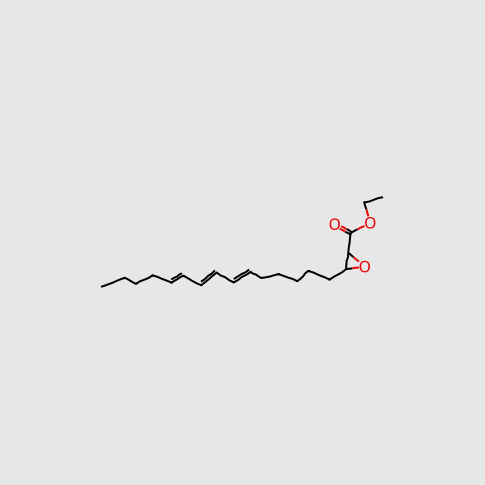 CCCCC=CC=CC=CCCCCCC1OC1C(=O)OCC